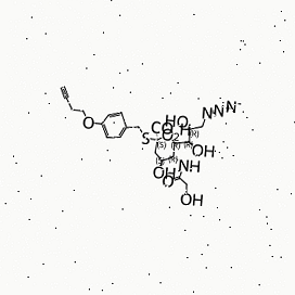 C#CCCOc1ccc(CS[C@]2(C(=O)O)C[C@H](O)[C@@H](NC(=O)CO)[C@H]([C@H](O)[C@H](O)CN=[N+]=[N-])O2)cc1